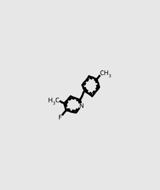 Cc1ccc(-c2cc(C)c(F)cn2)cc1